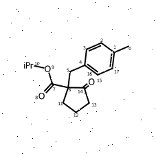 Cc1ccc(CC2(C(=O)OC(C)C)CCCC2=O)cc1